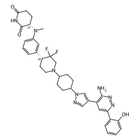 CN(c1cccc([C@H]2CCN(C3CCC(n4cc(-c5cc(-c6ccccc6O)nnc5N)cn4)CC3)CC2(F)F)c1)[C@H]1CCC(=O)NC1=O